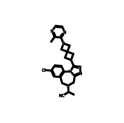 Cc1nccnc1N1CC2(CC(c3nnc4n3-c3ccc(Cl)cc3CN(C(C)C#N)C4)C2)C1